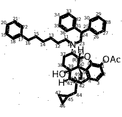 CC(=O)Oc1ccc2c3c1O[C@H]1[C@@H](N(CCCCCCc4ccccc4)CC(c4ccccc4)c4ccccc4)CC[C@@]4(O)[C@@H](C2)N(CC2CC2)CC[C@]314